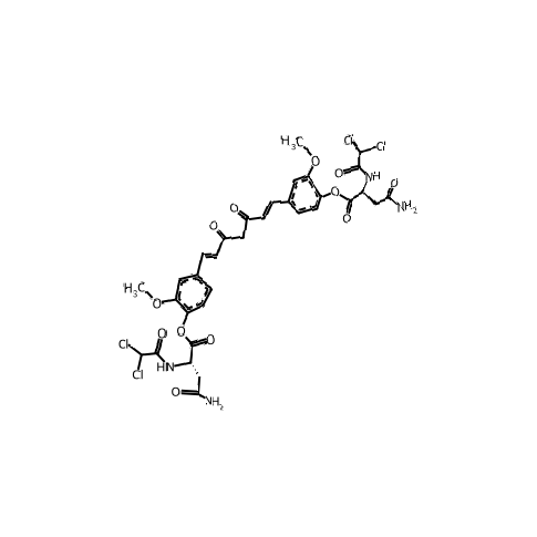 COc1cc(/C=C/C(=O)CC(=O)/C=C/c2ccc(OC(=O)[C@H](CC(N)=O)NC(=O)C(Cl)Cl)c(OC)c2)ccc1OC(=O)[C@H](CC(N)=O)NC(=O)C(Cl)Cl